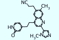 Cc1cc2nc(-c3cncn3C)cc(CCc3cc[nH]c(=O)c3)c2cc1CCC#N